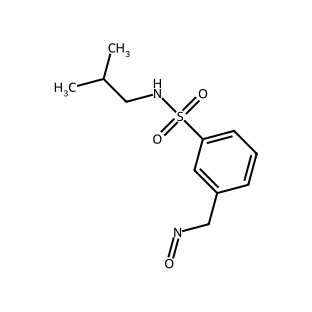 CC(C)CNS(=O)(=O)c1cccc(CN=O)c1